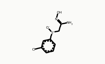 NC(C[S+]([O-])c1cccc(Cl)c1)=NO